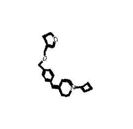 C(=C1CCN(C2CCC2)CC1)c1ccc(COCC2CCOC2)cc1